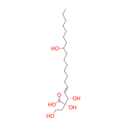 CCCCCCCC(O)CCCCCC/C=C/[C@H](O)[C@@](O)(CCO)C(=O)O